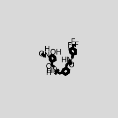 CC(C)(Cc1cccc(CC(=O)NCc2ccc(C(F)(F)F)cc2)c1)NC[C@@H](O)c1ccc(O)c(NC=O)c1